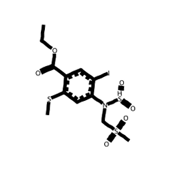 CCOC(=O)c1cc(I)c(N(CS(C)(=O)=O)[SH](=O)=O)cc1SC